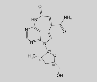 C[C@H]1C[C@@H](CO)O[C@H]1n1cc2c3c(ncnc31)NC(=O)C=C2C(N)=O